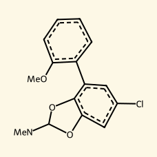 CNC1Oc2cc(Cl)cc(-c3ccccc3OC)c2O1